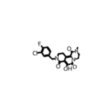 CN1CCn2c(c3c(c(O)c2=O)C(=O)N(Cc2ccc(F)c(Cl)c2)CC3)C1=O